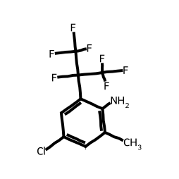 Cc1[c]c(Cl)cc(C(F)(C(F)(F)F)C(F)(F)F)c1N